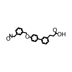 O=NCc1cccc(COc2ccc(-c3cccc(CCC(=O)O)c3)cc2)c1